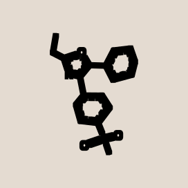 CCc1nc(-c2ccc(S(C)(=O)=O)cc2)c(-c2ccccc2)o1